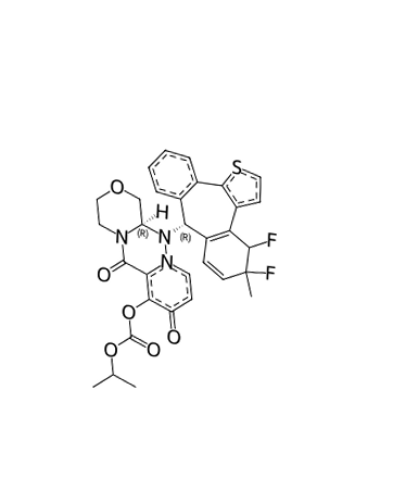 CC(C)OC(=O)Oc1c2n(ccc1=O)N([C@H]1C3=C(c4ccsc4-c4ccccc41)C(F)C(C)(F)C=C3)[C@@H]1COCCN1C2=O